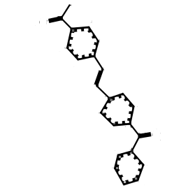 CC(=O)c1ccc(/C=C/c2ccc(C(=O)c3ccccc3)cc2)cc1